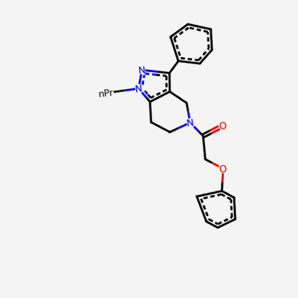 CCCn1nc(-c2ccccc2)c2c1CCN(C(=O)COc1ccccc1)C2